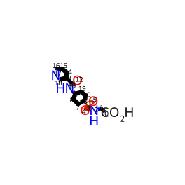 O=C(O)CNS(=O)(=O)c1ccc(NC(=O)c2cccnc2)cc1